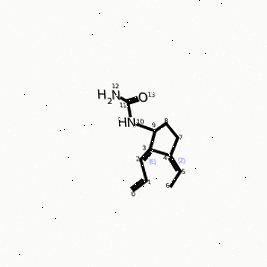 C=C/C=C1\C(=C/C)CCC1NC(N)=O